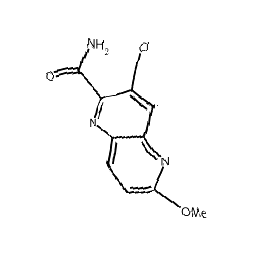 COc1ccc2nc(C(N)=O)c(Cl)[c]c2n1